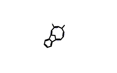 CC1/C=C\C=C2/C/C(=C\C(I)=C/1)c1ccccc12